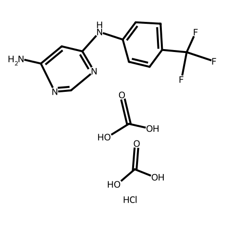 Cl.Nc1cc(Nc2ccc(C(F)(F)F)cc2)ncn1.O=C(O)O.O=C(O)O